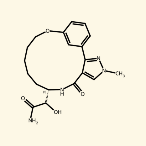 Cn1cc2c(n1)-c1cccc(c1)OCCCCC[C@@H](C(O)C(N)=O)NC2=O